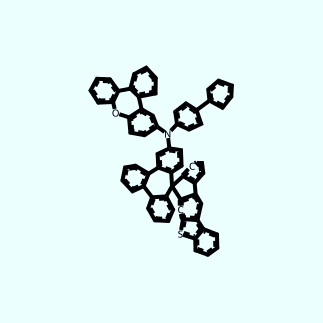 c1ccc(-c2ccc(N(c3ccc4c(c3)-c3ccccc3-c3ccccc3O4)c3ccc4c(c3)-c3ccccc3-c3ccccc3C43c4ccccc4-c4cc5c(cc43)sc3ccccc35)cc2)cc1